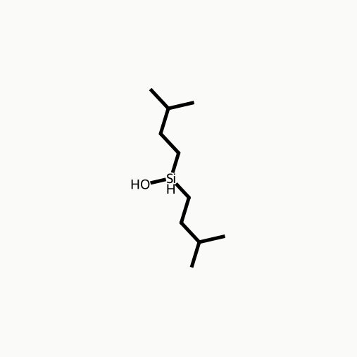 CC(C)CC[SiH](O)CCC(C)C